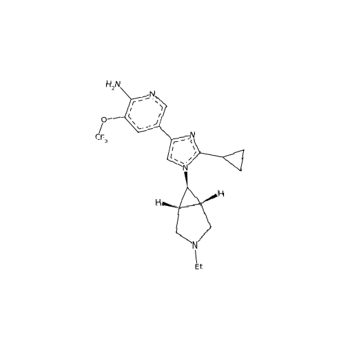 CCN1C[C@@H]2[C@H](C1)[C@H]2n1cc(-c2cnc(N)c(OC(F)(F)F)c2)nc1C1CC1